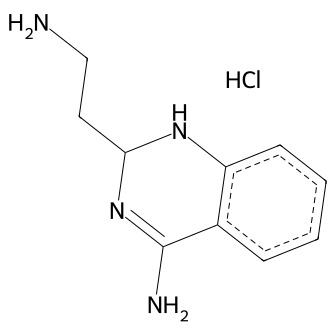 Cl.NCCC1N=C(N)c2ccccc2N1